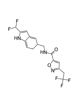 O=C(NCC1C=c2cc(C(F)F)[nH]c2=CC1)c1cc(CC(F)(F)F)no1